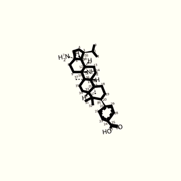 CC(C)[C@@H]1CC[C@]2(N)CC[C@]3(N)[C@H](CC[C@@H]4[C@@]5(C)CC[C@@H](c6ccc(C(=O)O)cc6)C(C)(C)[C@@H]5CC[C@]43C)[C@@H]12